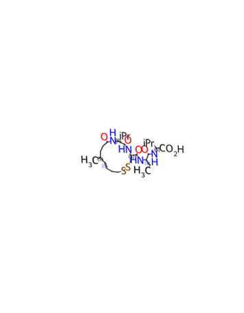 C/C=C(\NC(=O)[C@H]1CSSCC/C=C/[C@@H](C)CCC(=O)N[C@H](C(C)C)C(=O)N1)C(=O)N[C@H](C(=O)O)C(C)C